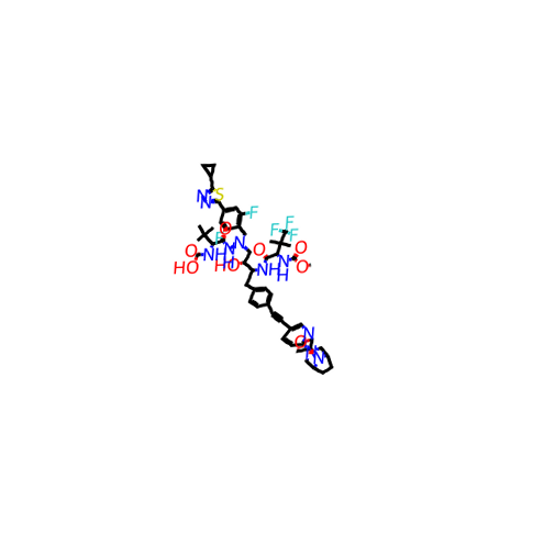 COC(=O)NC(C(=O)NC(Cc1ccc(C#Cc2ccc(N3CC4CCC(C3)N4C3COC3)nc2)cc1)C(O)CN(Cc1c(F)cc(-c2nnc(C3CC3)s2)cc1F)NC(=O)C(NC(=O)O)C(C)(C)C)C(C)(C)C(F)(F)F